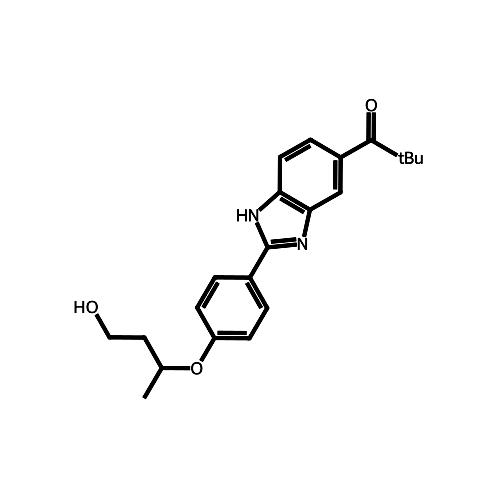 CC(CCO)Oc1ccc(-c2nc3cc(C(=O)C(C)(C)C)ccc3[nH]2)cc1